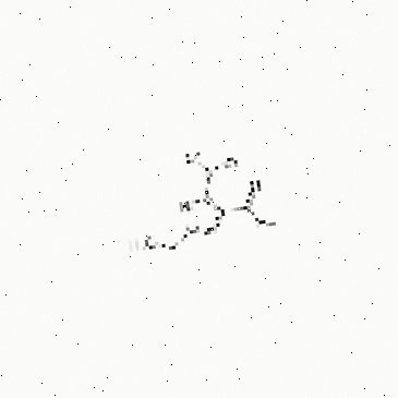 CCn1cc(C(=O)O)c([N+](=O)[O-])n1